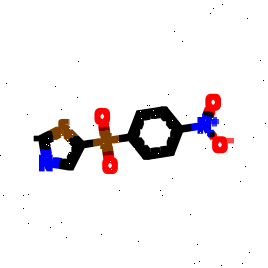 O=[N+]([O-])c1ccc(S(=O)(=O)c2cn[c]s2)cc1